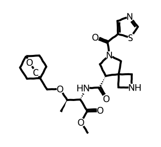 COC(=O)[C@@H](NC(=O)[C@@H]1CN(C(=O)c2cncs2)CC12CNC2)[C@@H](C)OCC12CCC(CC1)OC2